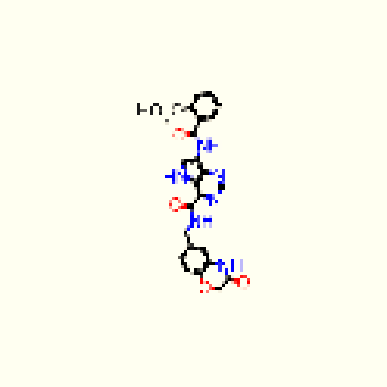 O=C1COc2ccc(CNC(=O)c3ncnc4c(NC(=O)c5ccccc5C(=O)O)c[nH]c34)cc2N1